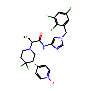 C[C@@H](C(=O)Nc1cn(Cc2cc(F)cc(F)c2F)cn1)N1CCC(F)(F)[C@@H](c2cc[n+]([O-])cc2)C1